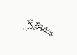 CCCC(COC1CCCCO1)Oc1nc(N)c2cnn(Cc3ccc(CN4CCCC4)cc3)c2n1